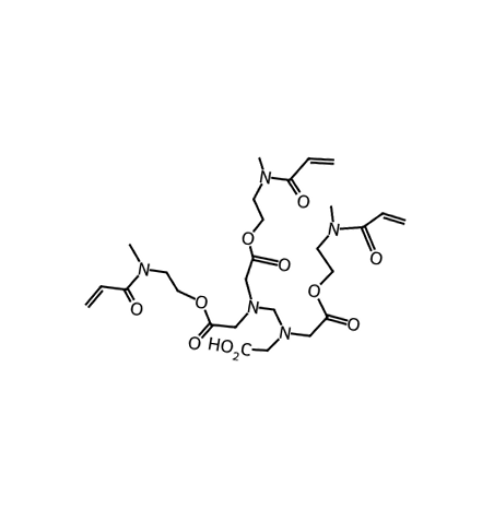 C=CC(=O)N(C)CCOC(=O)CN(CC(=O)O)CN(CC(=O)OCCN(C)C(=O)C=C)CC(=O)OCCN(C)C(=O)C=C